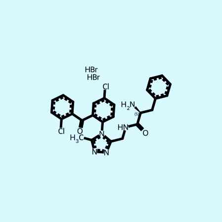 Br.Br.Cc1nnc(CNC(=O)[C@@H](N)Cc2ccccc2)n1-c1ccc(Cl)cc1C(=O)c1ccccc1Cl